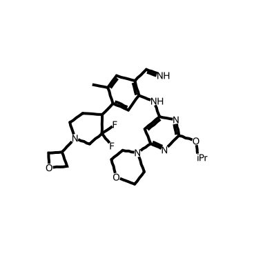 Cc1cc(C=N)c(Nc2cc(N3CCOCC3)nc(OC(C)C)n2)cc1C1CCN(C2COC2)CC1(F)F